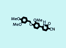 COc1ccc(COc2ccc(-c3ccc(C#N)c(=O)[nH]3)cc2OC)cc1OC